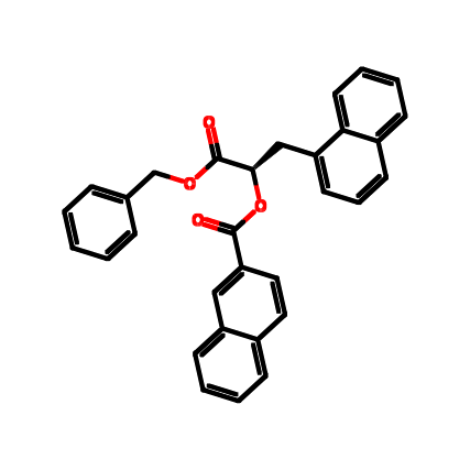 O=C(O[C@H](Cc1cccc2ccccc12)C(=O)OCc1ccccc1)c1ccc2ccccc2c1